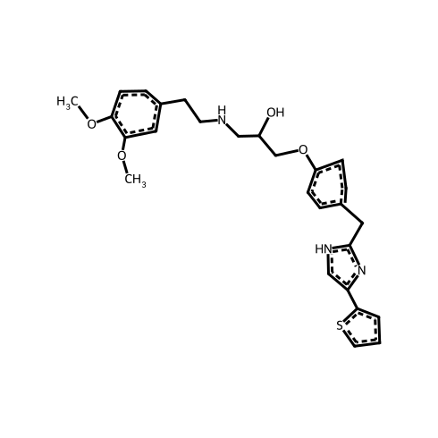 COc1ccc(CCNCC(O)COc2ccc(Cc3nc(-c4cccs4)c[nH]3)cc2)cc1OC